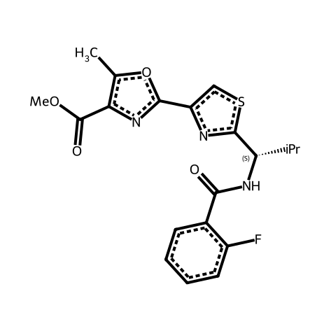 COC(=O)c1nc(-c2csc([C@@H](NC(=O)c3ccccc3F)C(C)C)n2)oc1C